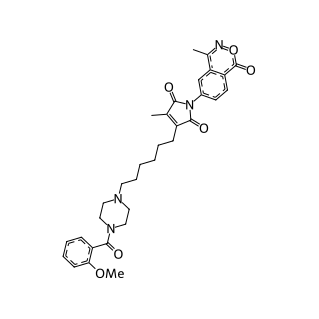 COc1ccccc1C(=O)N1CCN(CCCCCCC2=C(C)C(=O)N(c3ccc4c(=O)onc(C)c4c3)C2=O)CC1